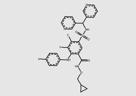 O=C(NOCC1CC1)c1cc(S(=O)(=O)NC(c2cccnc2)c2cccnc2)c(F)c(F)c1Nc1ccc(I)cc1